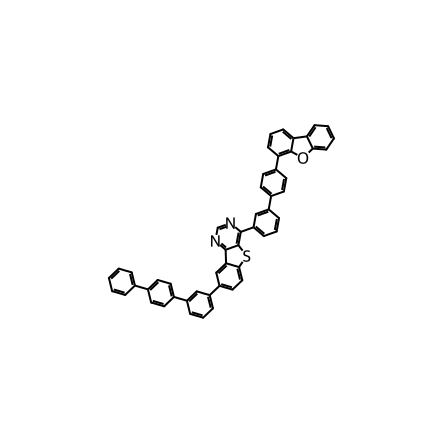 c1ccc(-c2ccc(-c3cccc(-c4ccc5sc6c(-c7cccc(-c8ccc(-c9cccc%10c9oc9ccccc9%10)cc8)c7)ncnc6c5c4)c3)cc2)cc1